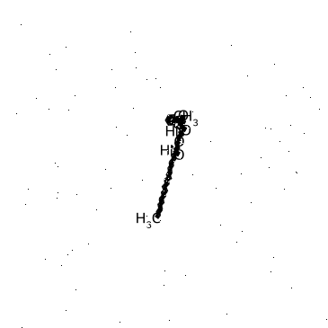 CCC=CCC=CCC=CCC=CCC=CCC=CCCC(=O)NCCOCCNC(=O)C1=CC(=O)C(C)(c2ccccc2)O1